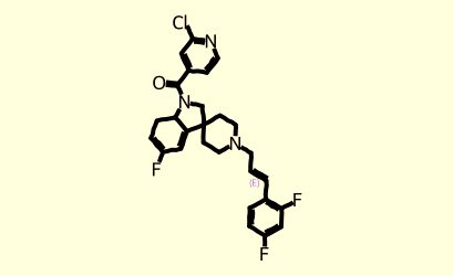 O=C(c1ccnc(Cl)c1)N1CC2(CCN(C/C=C/c3ccc(F)cc3F)CC2)C2=CC(F)=CCC21